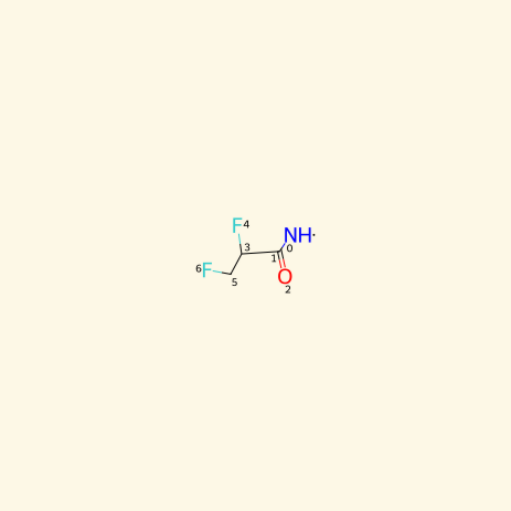 [NH]C(=O)C(F)CF